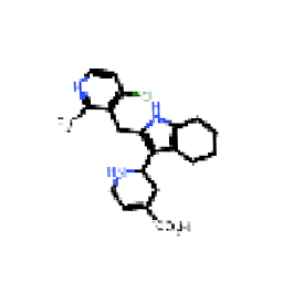 O=C(O)C1=CCNC(c2c(Cc3c(Cl)ccnc3C(F)(F)F)[nH]c3c2CCCC3)C1